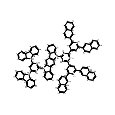 c1ccc2cc(-c3cc(-c4nc(-c5cc(-c6ccc7ccccc7c6)nc(-c6ccc7ccccc7c6)c5)nc(-n5c6ccccc6c6cc7c(cc65)c5ccccc5n7-c5nc(-n6c7ccccc7c7ccccc76)cc(-n6c7ccccc7c7ccccc76)n5)n4)cc(-c4ccc5ccccc5c4)n3)ccc2c1